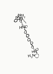 CCCCc1nc2c(N)nc3ccccc3c2n1CCCCNC(=O)CCOCCOCCOCCOCCOCCC(=O)NCC1CCCCCCC(N)C1